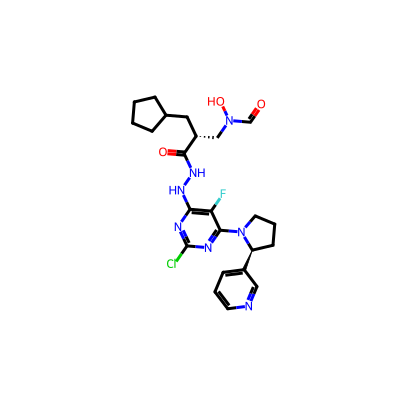 O=CN(O)C[C@@H](CC1CCCC1)C(=O)NNc1nc(Cl)nc(N2CCC[C@H]2c2cccnc2)c1F